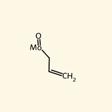 C=C[CH2][Mo]=[O]